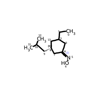 CCC1C/C(=N/O)C[C@H](CC(C)C)C1